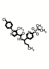 CCCC(NC(=O)c1cnn(-c2ccc(Cl)cc2)c1C)c1ccc(S(=O)(=O)N(C)C)nc1